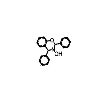 ON1C(c2ccccc2)Oc2ccccc2C1c1cc[c]cc1